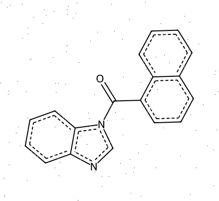 O=C(c1cccc2ccccc12)n1cnc2ccccc21